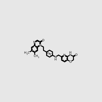 Cc1cc2ncc(=O)n(CCC34CCC(NCc5ccc6c(n5)NC(=O)CO6)(CC3)CO4)c2cc1C